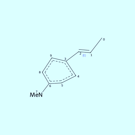 C/C=C/c1ccc(NC)cc1